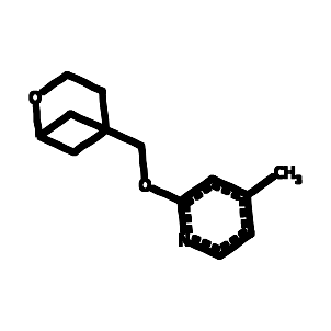 Cc1ccnc(OCC23CCOC(C2)C3)c1